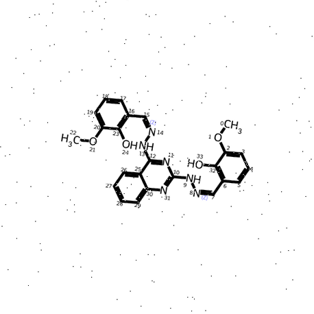 COc1cccc(/C=N\Nc2nc(N/N=C\c3cccc(OC)c3O)c3ccccc3n2)c1O